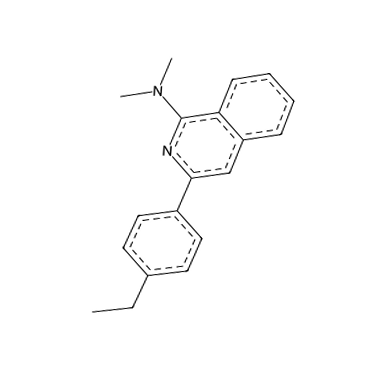 CCc1ccc(-c2cc3ccccc3c(N(C)C)n2)cc1